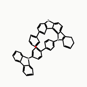 C1=Cc2c(c3ccc4sc5ccc(-c6ccccc6)cc5c4c3n2-c2ccc(-c3ccc(-n4c5ccccc5c5ccccc54)cc3)cc2)CC1